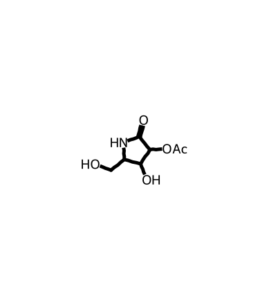 CC(=O)OC1C(=O)NC(CO)C1O